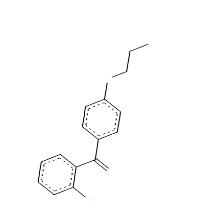 CCCOc1ccc(C(=O)c2ccccc2O)cc1